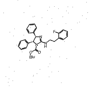 CC(C)(C)OC(=O)N1C(NCCc2ccccc2F)=N[C@H](c2ccccc2)[C@@H]1c1ccccc1